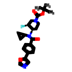 CC(C)(C)OC(=O)N1CC[C@H](N(C(=O)c2ccc(-c3cnco3)cc2)C2CC2)[C@H](F)C1